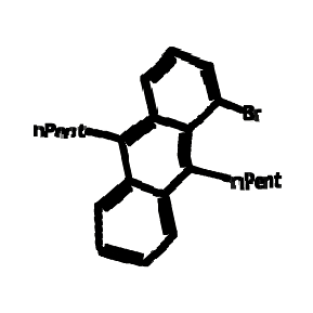 CCCCCc1c2ccccc2c(CCCCC)c2c(Br)cccc12